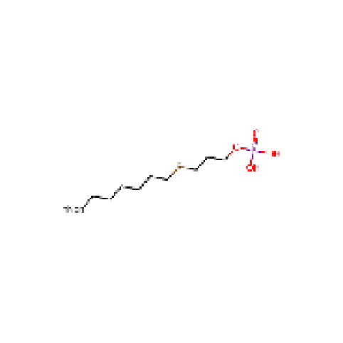 CCCCCCCCCCCCCCCSCCCOP(=O)(O)O